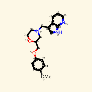 COc1ccc(OCC2CN(Cc3c[nH]c4ncccc34)CCO2)cc1